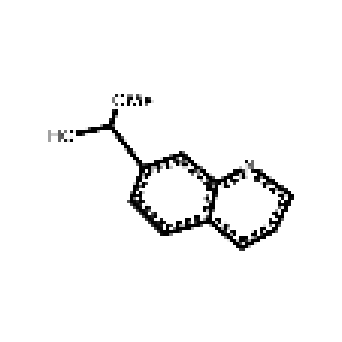 COC(O)c1ccc2cccnc2c1